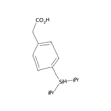 CC(C)[SiH](c1ccc(CC(=O)O)cc1)C(C)C